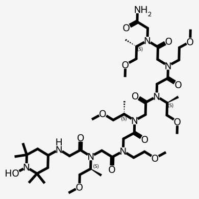 COCCN(CC(=O)N(CC(N)=O)[C@@H](C)COC)C(=O)CN(C(=O)CN(C(=O)CN(CCOC)C(=O)CN(C(=O)CNC1CC(C)(C)N(O)C(C)(C)C1)[C@@H](C)COC)[C@@H](C)COC)[C@@H](C)COC